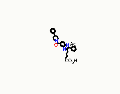 CC(=O)c1ccccc1-c1nc2ccc(C(=O)N3CCC(c4ccccc4)CC3)cc2nc1CCCCC(=O)O